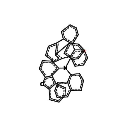 c1ccc2c(c1)-c1cccc3c1-c1cc(N(c4cccc5ccccc45)c4cccc5oc6ccccc6c45)ccc1-c1cccc-3c1-2